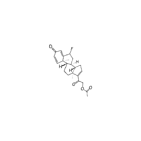 CC(=O)OCC(=O)C1=CC[C@H]2[C@@H]3CC(F)C4=CC(=O)C=C[C@]4(C)[C@H]3CC[C@]12C